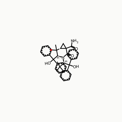 CC(C)(C)[C@@H](N(C(=O)C1(C(N)=O)CC1)[C@H](C(C)(C)C)C(O)(c1ccccc1)c1ccccc1)C(O)(c1ccccc1)c1ccccc1